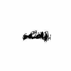 O=C1NC(=O)/C(=C/c2ccnc(N3CCC(CNCc4cc(C(F)(F)F)cc(-c5cc(F)nc(F)c5)n4)CC3)n2)S1